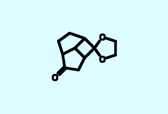 O=C1CC2C3C1CCC3C21OCCO1